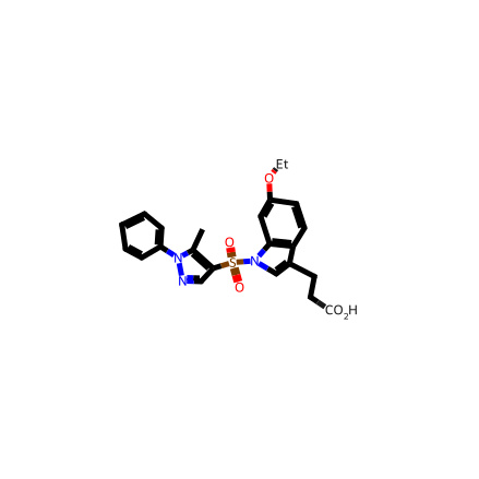 CCOc1ccc2c(CCC(=O)O)cn(S(=O)(=O)c3cnn(-c4ccccc4)c3C)c2c1